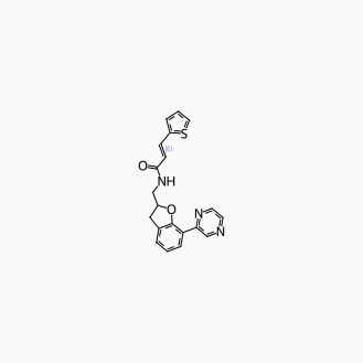 O=C(/C=C/c1cccs1)NCC1Cc2cccc(-c3cnccn3)c2O1